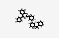 CC1(C)c2ccccc2Sc2c(-c3cccc(-c4nc(-c5ccccc5)c5ccccc5n4)c3)cccc21